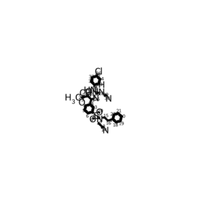 CC1(C)Oc2ccc(S(=O)(=O)N(CC#N)CCc3ccccc3)cc2C(/N=C(/NC#N)Nc2ccc(Cl)cc2)C1O